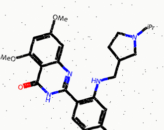 COc1ccc(-c2nc3cc(OC)cc(OC)c3c(=O)[nH]2)c(NCC2CCN(C(C)C)C2)c1